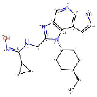 N#CC[C@H]1CC[C@H](n2c(CN/C(=N\O)C3CC3)nc3cnc4[nH]ccc4c32)CC1